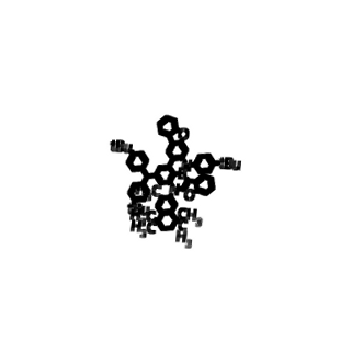 Cc1cc2c(cc1N1c3cc(C(c4ccc(C(C)(C)C)cc4)c4ccc(C(C)(C)C)cc4)cc4c3B(c3c1oc1ccccc31)N(c1ccc(C(C)(C)C)cc1)c1cc3oc5ccccc5c3cc1-4)C(C)(C)CCC2(C)C